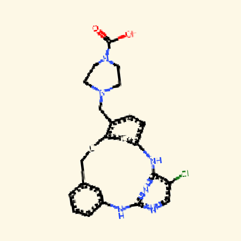 O=C(O)N1CCN(Cc2ccc3cc2CCc2cccc(c2)Nc2ncc(Cl)c(n2)N3)CC1